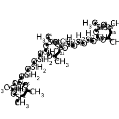 CC1C[SiH](C)O[SiH](C)O[SiH](O[SiH2]O[SiH2]O[SiH2]O[SiH]2OC(C)C[Si](C)(O[SiH2]O[SiH2]O[SiH2]O[SiH]3OC(C)C[SiH](C)O[SiH](C)O3)O[SiH](C)O2)O1